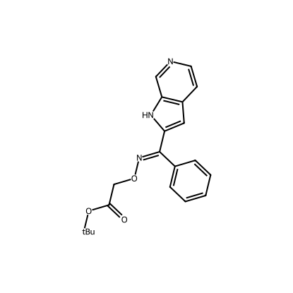 CC(C)(C)OC(=O)CO/N=C(\c1ccccc1)c1cc2ccncc2[nH]1